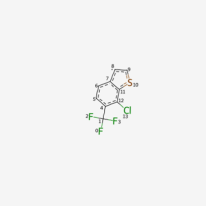 FC(F)(F)c1ccc2[c]csc2c1Cl